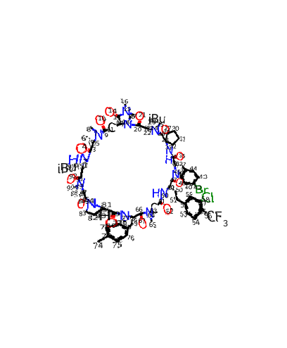 CC[C@H](C)[C@@H]1NC(=O)[C@H](C)N(C)C(=O)C[C@@H](C(=O)N(C)C)N(C)C(=O)[C@H]([C@@H](C)CC)N(C)C(=O)C2(CCCC2)NC(=O)[C@H](Cc2ccc(Br)cc2)N(C)C(=O)[C@H](CCc2ccc(C(F)(F)F)c(Cl)c2)NC(=O)CN(C)C(=O)[C@H](Cc2ccc(C)cc2)N(C)C(=O)[C@@H]2CCN2C(=O)[C@H](C)N(C)C1=O